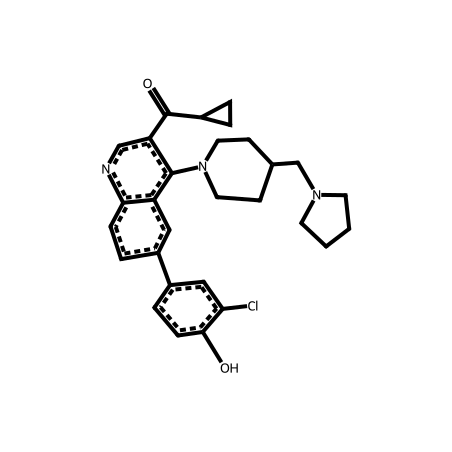 O=C(c1cnc2ccc(-c3ccc(O)c(Cl)c3)cc2c1N1CCC(CN2CCCC2)CC1)C1CC1